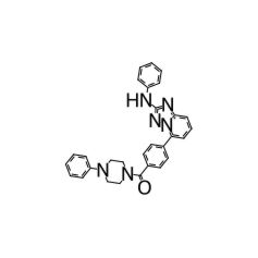 O=C(c1ccc(-c2cccc3nc(Nc4ccccc4)nn23)cc1)N1CCN(c2ccccc2)CC1